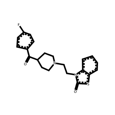 O=C(c1ccc(F)cc1)C1CCN(CCn2c(=O)sc3ccccc32)CC1